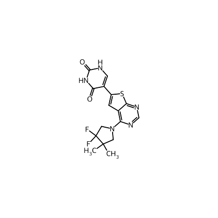 CC1(C)CN(c2ncnc3sc(-c4c[nH]c(=O)[nH]c4=O)cc23)CC1(F)F